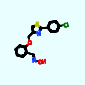 ON=Cc1ccccc1OCc1csc(-c2ccc(Cl)cc2)n1